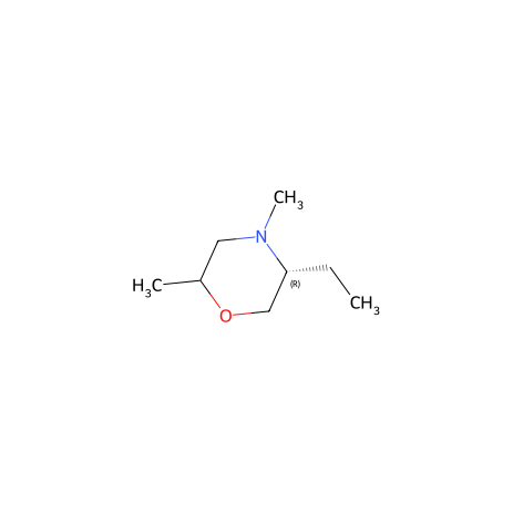 CC[C@@H]1COC(C)CN1C